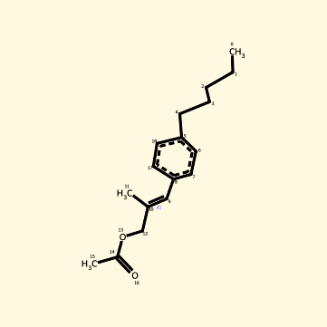 CCCCCc1ccc(/C=C(\C)COC(C)=O)cc1